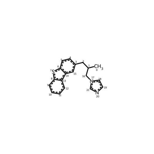 CC(Cc1ccc2sc3ccccc3c2c1)Cn1ccnc1